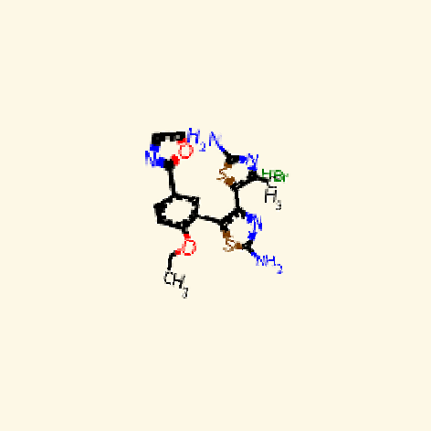 Br.CCOc1ccc(-c2ncco2)cc1-c1sc(N)nc1-c1sc(N)nc1C